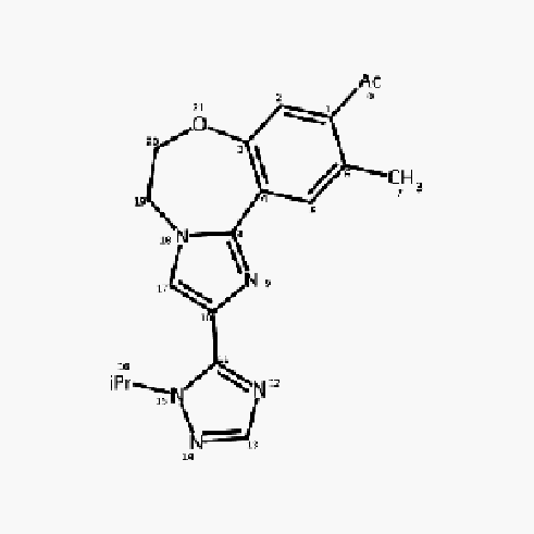 CC(=O)c1cc2c(cc1C)-c1nc(-c3ncnn3C(C)C)cn1CCO2